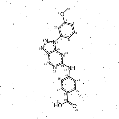 COc1cccc(-n2nnc3cnc(Nc4ccc(C(=O)O)cc4)nc32)c1